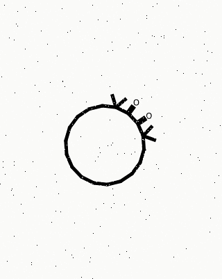 CC1(C)CCCCCCCCCCCCCCC(C)(C)C(=O)C1=O